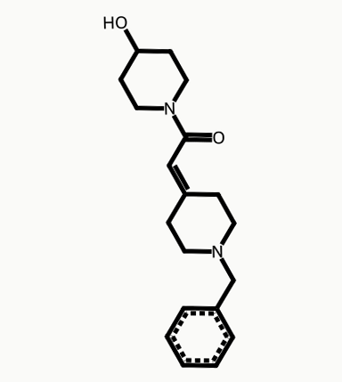 O=C(C=C1CCN(Cc2ccccc2)CC1)N1CCC(O)CC1